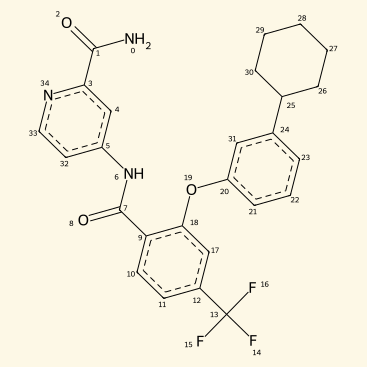 NC(=O)c1cc(NC(=O)c2ccc(C(F)(F)F)cc2Oc2cccc(C3CCCCC3)c2)ccn1